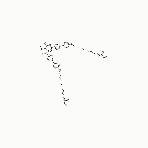 C=CC(=O)OCCCCCCCCCCOc1ccc(-c2ccc(C(=O)OC3OCCOC3OC(=O)c3ccc(-c4ccc(OCCCCCCCCCCOC(=O)C=C)cc4)cc3)cc2)cc1